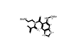 C=C(C)C(=O)N(CCNC)C(=C)c1cc2c(cc1NOC)OCO2